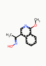 COc1ncc(C(C)=NO)c2ccccc12